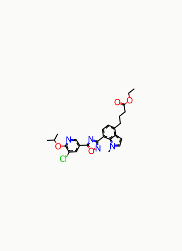 CCOC(=O)CCCc1ccc(-c2noc(-c3cnc(OC(C)C)c(Cl)c3)n2)c2c1ccn2C